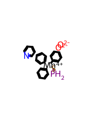 P[S][Mn+4]([c]1ccccc1)([c]1ccccc1)[c]1ccccc1.[O-2].[O-2].c1ccncc1